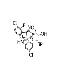 CC(C)CCN1[C@@H](CCO)[C@@H]([N+](=O)[O-])[C@H](c2cccc(Cl)c2F)[C@]12C(=O)Nc1cc(Cl)ccc12